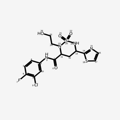 O=C(Nc1ccc(F)c(Cl)c1)C1CC(c2nccs2)NS(=O)(=O)N1CCO